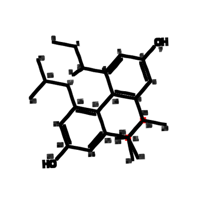 CCC(C)c1cc(O)cc(CC(C)C)c1-c1c(CC(C)C)cc(O)cc1C(C)CC